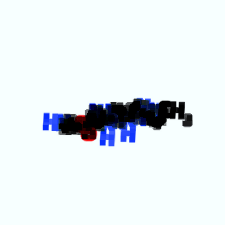 Cc1cccc(-c2nccc(Nc3ccnc(Nc4cncc(C(=O)OCC5CNC5)c4)n3)n2)n1